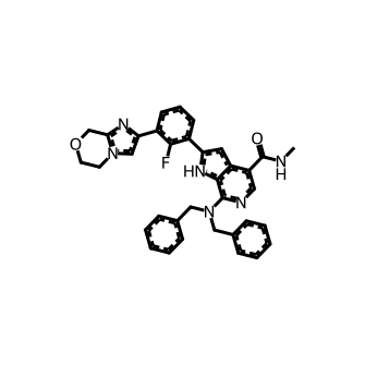 CNC(=O)c1cnc(N(Cc2ccccc2)Cc2ccccc2)c2[nH]c(-c3cccc(-c4cn5c(n4)COCC5)c3F)cc12